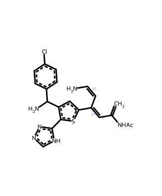 C=C(/C=C(\C=C/N)c1cc(C(N)c2ccc(Cl)cc2)c(-c2nnc[nH]2)s1)NC(C)=O